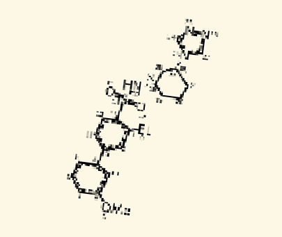 CCc1cc(-c2cccc(OC)c2)ccc1S(=O)(=O)N[C@H]1CCC[C@@H](n2cnnc2)C1